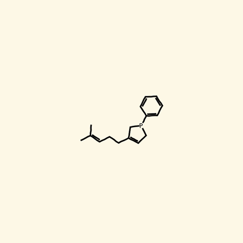 CC(C)=CCCC1=CCP(c2ccccc2)C1